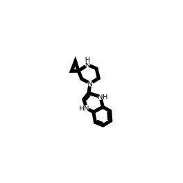 C1=CC2NC=C(N3CCNC4(CC4)C3)NC2C=C1